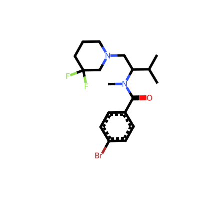 CC(C)C(CN1CCCC(F)(F)C1)N(C)C(=O)c1ccc(Br)cc1